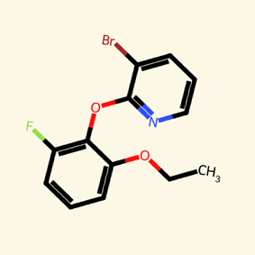 CCOc1cccc(F)c1Oc1ncccc1Br